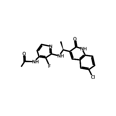 CC(=O)Nc1ccnc(N[C@@H](C)c2cc3cc(Cl)ccc3[nH]c2=O)c1F